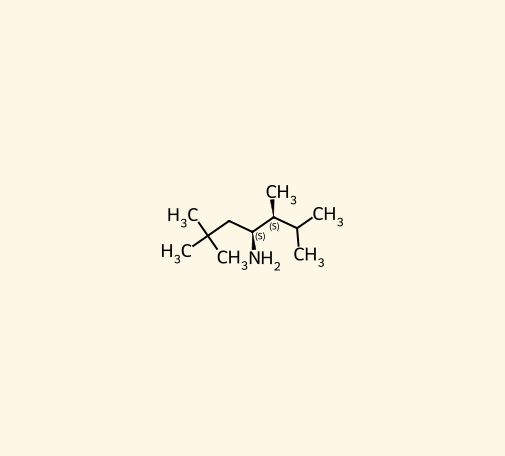 CC(C)[C@H](C)[C@@H](N)CC(C)(C)C